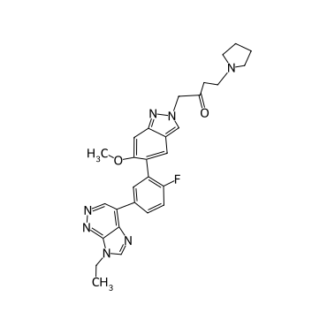 CCn1cnc2c(-c3ccc(F)c(-c4cc5cn(CC(=O)CCN6CCCC6)nc5cc4OC)c3)cnnc21